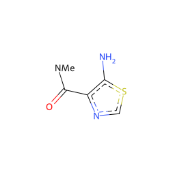 CNC(=O)c1ncsc1N